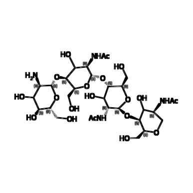 CC(=O)N[C@H]1CO[C@@H](CO)[C@@H](O[C@@H]2O[C@H](CO)[C@@H](O[C@@H]3O[C@@H](CO)[C@@H](O[C@@H]4O[C@H](CO)[C@@H](O)C(O)[C@H]4N)C(O)[C@H]3NC(C)=O)C(O)[C@H]2NC(C)=O)C1O